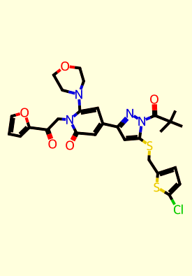 CC(C)(C)C(=O)n1nc(-c2cc(N3CCOCC3)n(CC(=O)c3ccco3)c(=O)c2)cc1SCc1ccc(Cl)s1